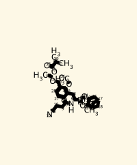 COc1c(CC(NC(=O)CCC#N)B2OC3CC4CC(C4(C)C)C3(C)O2)cccc1C(=O)OC(C)OC(=O)C(C)C